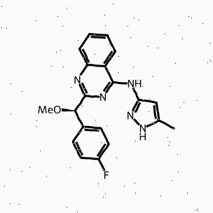 CO[C@H](c1ccc(F)cc1)c1nc(Nc2cc(C)[nH]n2)c2ccccc2n1